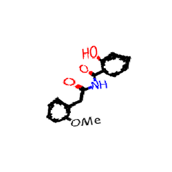 COc1ccccc1CC(=O)NC(=O)c1ccccc1O